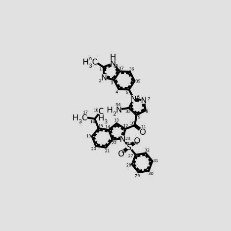 Cc1nc2cc(-n3ncc(C(=O)c4cc5c(C(C)C)cccc5n4S(=O)(=O)c4ccccc4)c3N)ccc2[nH]1